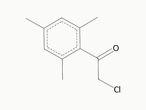 Cc1cc(C)c(C(=O)CCl)c(C)c1